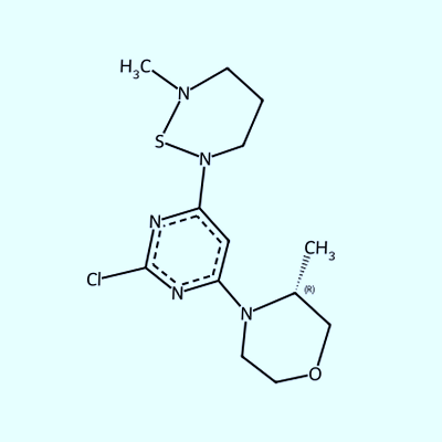 C[C@@H]1COCCN1c1cc(N2CCCN(C)S2)nc(Cl)n1